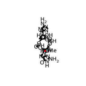 CO[C@H]1[C@H]2O[PH](=O)OCC34C[C@@H]3[C@@H](n3cnc5c(N)ncnc53)[C@H](O)[C@@H]4O[P@@](=O)(S)OC[C@H]1O[C@H]2n1cnc2c(=O)[nH]c(N)nc21